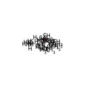 CC[C@H]1OC(=O)[C@H](C)[C@@H](O[C@H]2C[C@@](C)(OC)[C@@H](O)[C@H](C)O2)[C@H](C)[C@@H](O[C@@H]2O[C@H](C)C[C@H](N(C)C)[C@H]2O)[C@](C)(O)C[C@@H](C)CN(CCCNC(=O)CCCC[C@@H]2SC[C@@H]3NC(=N)N[C@@H]32)[C@H](C)[C@@H](O)[C@]1(C)O